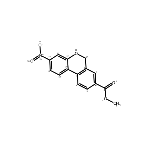 COC(=O)c1ccc2c(c1)COc1cc([N+](=O)[O-])ccc1-2